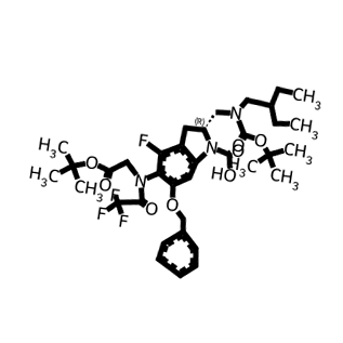 CCC(CC)CN(C[C@H]1Cc2c(cc(OCc3ccccc3)c(N(CC(=O)OC(C)(C)C)C(=O)C(F)(F)F)c2F)N1C(=O)O)C(=O)OC(C)(C)C